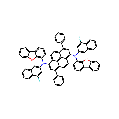 Fc1cc(N(c2cc(-c3ccccc3)c3ccc4c(N(c5cc(F)c6ccccc6c5)c5cccc6c5oc5ccccc56)cc(-c5ccccc5)c5ccc2c3c54)c2cccc3c2oc2ccccc23)cc2ccccc12